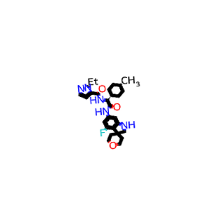 CCn1nccc1C(=O)NC(C(=O)Nc1cc(F)c2c(c1)NCC21CCOCC1)[C@H]1CC[C@H](C)CC1